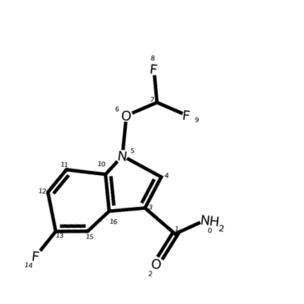 NC(=O)c1cn(OC(F)F)c2ccc(F)cc12